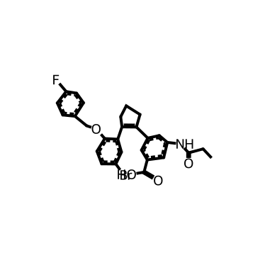 CCC(=O)Nc1cc(C(=O)O)cc(C2=C(c3cc(Br)ccc3OCc3ccc(F)cc3)CCC2)c1